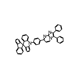 c1ccc(-c2nc3nc(-c4ccc(N5c6ccccc6C6(c7ccccc7-c7ccccc76)c6ccccc65)cc4)ccn3c2-c2ccccc2)cc1